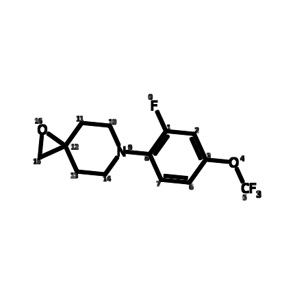 Fc1cc(OC(F)(F)F)ccc1N1CCC2(CC1)CO2